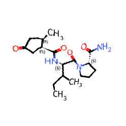 CCC(C)[C@H](NC(=O)[C@H]1CC(=O)C[C@H]1C)C(=O)N1CCC[C@H]1C(N)=O